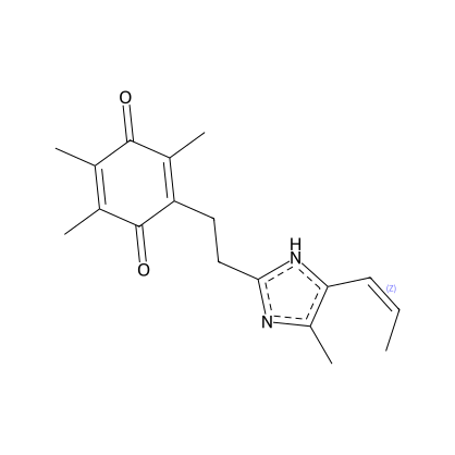 C/C=C\c1[nH]c(CCC2=C(C)C(=O)C(C)=C(C)C2=O)nc1C